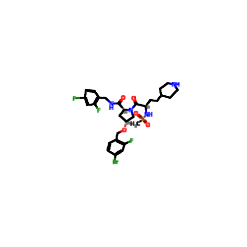 CS(=O)(=O)N[C@H](CCC1CCNCC1)C(=O)N1C[C@H](OCc2ccc(Br)cc2F)C[C@H]1C(=O)NCc1ccc(F)cc1F